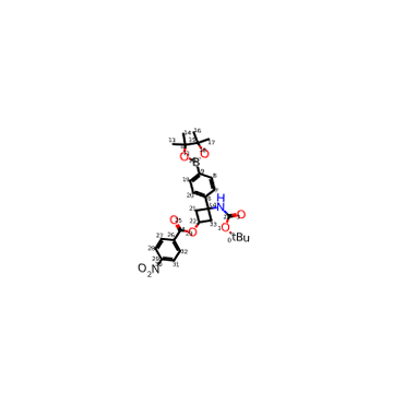 CC(C)(C)OC(=O)NC1(c2ccc(B3OC(C)(C)C(C)(C)O3)cc2)CC(OC(=O)c2ccc([N+](=O)[O-])cc2)C1